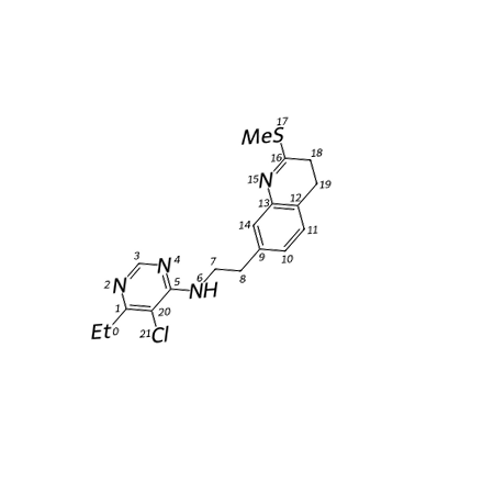 CCc1ncnc(NCCc2ccc3c(c2)N=C(SC)CC3)c1Cl